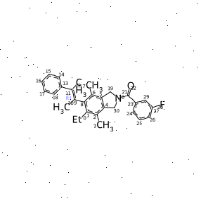 CCc1c(C)c2c(c(C)c1/C(C)=C(\C)c1ccccc1)CN(C(=O)c1cccc(F)c1)C2